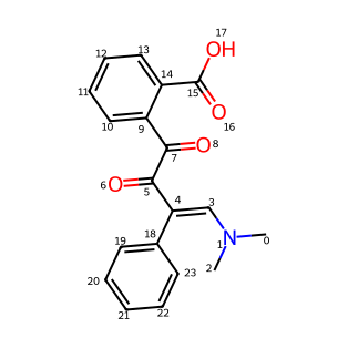 CN(C)C=C(C(=O)C(=O)c1ccccc1C(=O)O)c1ccccc1